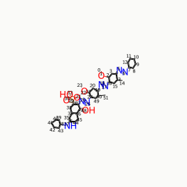 COc1cc(N=Nc2ccccc2)c(C)cc1N=Nc1cc(OC)c(N=Nc2c(S(=O)(=O)O)cc3cc(Nc4ccccc4)ccc3c2O)cc1C